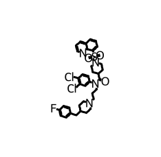 O=C(C1CCN(S(=O)(=O)c2cccc3cccnc23)CC1)N(CCCN1CCC(Cc2ccc(F)cc2)CC1)c1ccc(Cl)c(Cl)c1